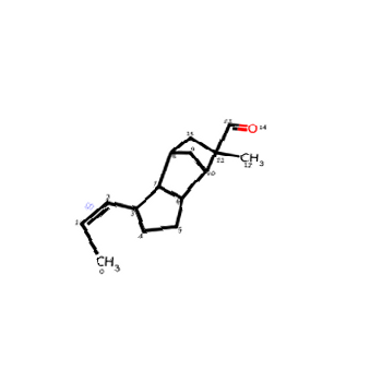 C/C=C\C1CCC2C1C1CC2C(C)(C=O)C1